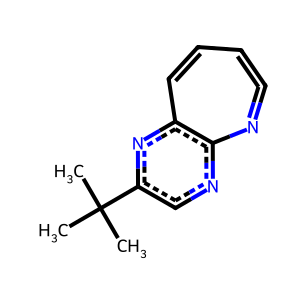 CC(C)(C)c1cnc2c(n1)C=CC=C=N2